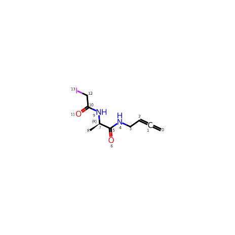 C=C=CCNC(=O)[C@@H](C)NC(=O)CI